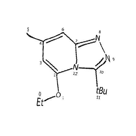 CCOc1cc(C)cc2nnc(C(C)(C)C)n12